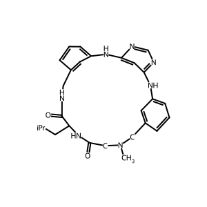 CC(C)CC1NC(=O)CN(C)Cc2cccc(c2)Nc2cc(ncn2)Nc2cccc(c2)CNC1=O